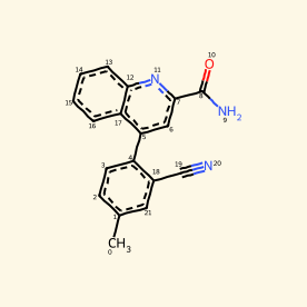 Cc1ccc(-c2cc(C(N)=O)nc3ccccc23)c(C#N)c1